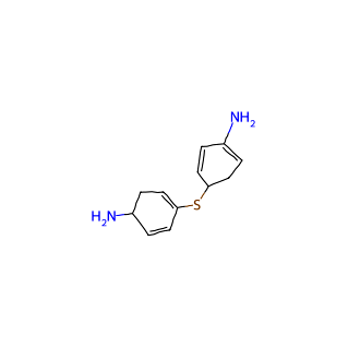 NC1=CCC(SC2=CCC(N)C=C2)C=C1